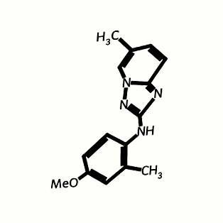 COc1ccc(Nc2nc3ccc(C)cn3n2)c(C)c1